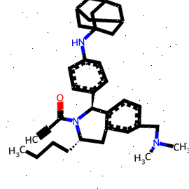 C#CC(=O)N1[C@@H](CCCC)Cc2cc(CN(C)C)ccc2[C@@H]1c1ccc(NC23CC4CC(CC(C4)C2)C3)cc1